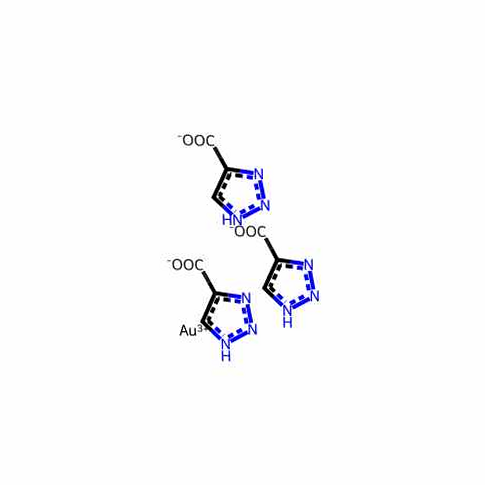 O=C([O-])c1c[nH]nn1.O=C([O-])c1c[nH]nn1.O=C([O-])c1c[nH]nn1.[Au+3]